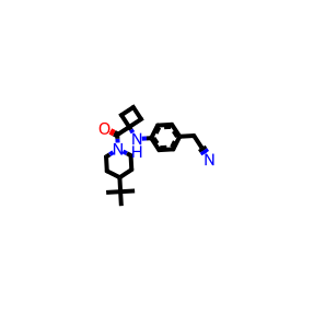 CC(C)(C)C1CCN(C(=O)C2(Nc3ccc(CC#N)cc3)CCC2)CC1